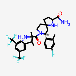 Cc1cc(F)ccc1[C@H]1CC2(CCC(C(N)=O)N2)CCN1C(=O)C(C)(N)C(C)c1cc(C(F)(F)F)cc(C(F)(F)F)c1